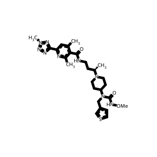 CONC(=O)N(Cc1ccsc1)C1CCN([C@H](C)CCNC(=O)c2c(C)cc(-c3nnn(C)n3)nc2C)CC1